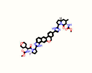 COC(=O)N[C@@H]1C(=O)N2C(c3ncc(-c4ccc5c(c4)COc4cc6c(ccc7nc(C8CC[C@H](I)N8C(=O)[C@@H](NC(=O)OC)C8CCOCC8)[nH]c76)cc4-5)[nH]3)CC[C@@H]2CC1C